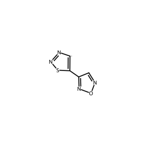 [c]1nnsc1-c1cnon1